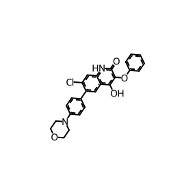 O=c1[nH]c2cc(Cl)c(-c3ccc(N4CCOCC4)cc3)cc2c(O)c1Oc1ccccc1